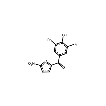 CC(C)c1cc(C(=O)c2ccc([N+](=O)[O-])o2)cc(C(C)C)c1O